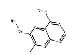 COc1nccc2cc(C)c(OC(C)C)cc12